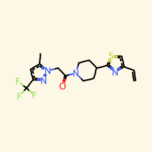 C=Cc1csc(C2CCN(C(=O)Cn3nc(C(F)(F)F)cc3C)CC2)n1